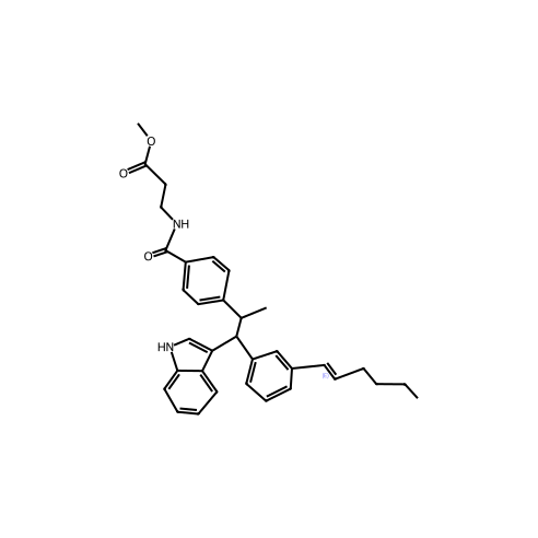 CCCC/C=C/c1cccc(C(c2c[nH]c3ccccc23)C(C)c2ccc(C(=O)NCCC(=O)OC)cc2)c1